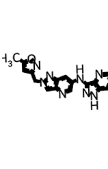 Cc1cc(Cn2cc3ncc(Nc4n[nH]c5cccnc45)cc3n2)no1